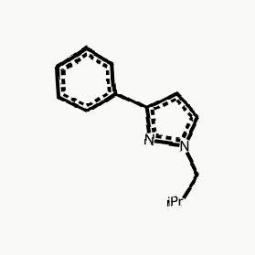 CC(C)Cn1ccc(-c2ccccc2)n1